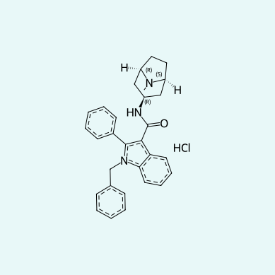 CN1[C@@H]2CC[C@H]1C[C@@H](NC(=O)c1c(-c3ccccc3)n(Cc3ccccc3)c3ccccc13)C2.Cl